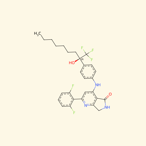 CCCCCCC[C@@](O)(c1ccc(Nc2cc(-c3c(F)cccc3F)nc3c2C(=O)NC3)cc1)C(F)(F)F